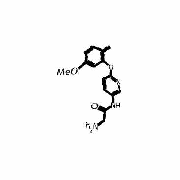 COc1ccc(C)c(Oc2ccc(NC(=O)CN)cn2)c1